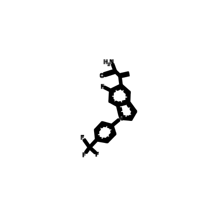 C=C(C(N)=O)c1cc2ccn(-c3ccc(C(F)(F)F)cc3)c2cc1F